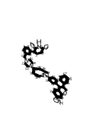 O=C1CCC(c2cccc(CN3CCN(C4CCN(c5ccc(C6c7ccc(O)cc7OCC6c6ccccc6)cc5)CC4)CC3)c2)C(=O)N1